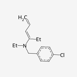 C=C/C=C(\CC)N(CC)Cc1ccc(Cl)cc1